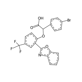 O=C(O)C(Oc1ccc(C(F)(F)F)cc1-c1nc2ccccc2o1)c1ccc(Br)cc1